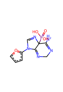 NC1=NCN=C2N(c3ccco3)C=NC12P(=O)(O)O